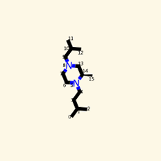 CC(C)CCN1CCN(CC(C)C)C[C@H]1C